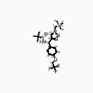 CC(C)(C)[S@+]([O-])N[C@@H](c1ccc(OCC(F)(F)F)cc1)c1cn(C[Si](C)(C)C)nn1